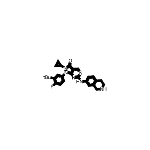 CC(C)(C)c1cc(-n2c3nc(Nc4ccc5c(c4)CNCC5)ncc3c(=O)n2C2CC2)ccc1F